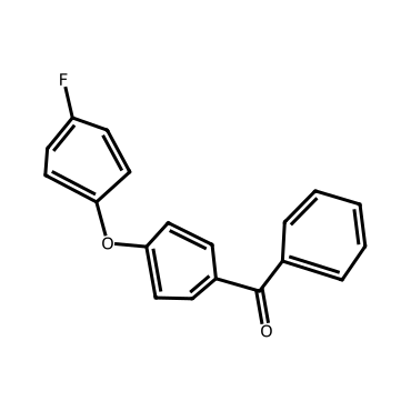 O=C(c1ccccc1)c1ccc(Oc2ccc(F)cc2)cc1